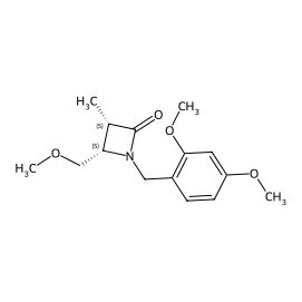 COC[C@@H]1[C@H](C)C(=O)N1Cc1ccc(OC)cc1OC